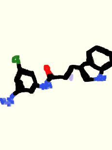 Nc1cc(Cl)cc(NC(=O)/C=C/c2c[nH]c3ccccc23)c1